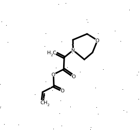 C=CC(=O)OC(=O)C(=C)N1CCOCC1